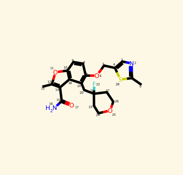 Cc1ncc(COc2ccc3oc(C)c(C(N)=O)c3c2CC2(F)CCOCC2)s1